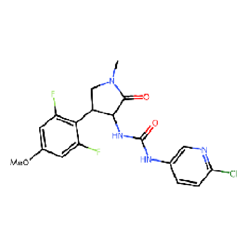 COc1cc(F)c(C2CN(C)C(=O)C2NC(=O)Nc2ccc(Cl)nc2)c(F)c1